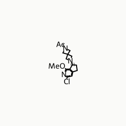 COc1nc(Cl)cc2c1[C@@H](N1CC3(CN(C(C)=O)C3)C1)CC2